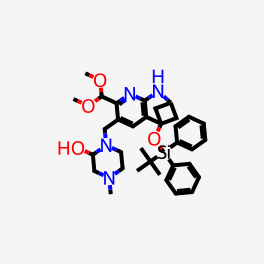 COC(OC)c1nc2c(cc1CN1CCN(C)CC1O)C1(O[Si](c3ccccc3)(c3ccccc3)C(C)(C)C)CC(C1)N2